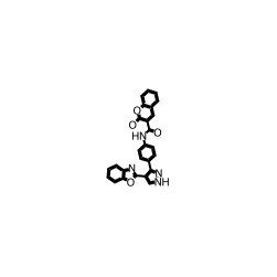 O=C(Nc1ccc(-c2n[nH]cc2-c2nc3ccccc3o2)cc1)c1cc2ccccc2oc1=O